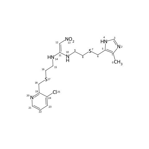 Cc1nc[nH]c1CSCCN/C(=C\[N+](=O)[O-])NCCSCc1ncccc1Cl